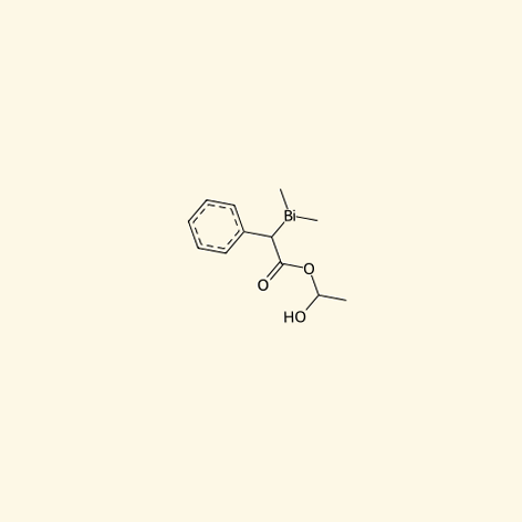 CC(O)OC(=O)[CH](c1ccccc1)[Bi]([CH3])[CH3]